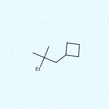 CCC(C)(C)CC1CCC1